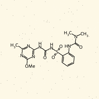 COc1nc(C)nc(NC(=O)NS(=O)(=O)c2ccccc2NC(=O)N(C)C)n1